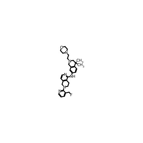 CC1(C)CN(CCN2CCOCC2)Cc2cc(Nc3nccc4c3CCN(c3ncccc3CF)C4)ccc21